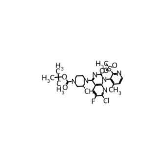 Cc1ccnc(S(C)(=O)=O)c1-n1c(=O)nc(N2CCN(C(=O)OC(C)(C)C)C[C@@H]2C)c2cc(F)c(Cl)nc21